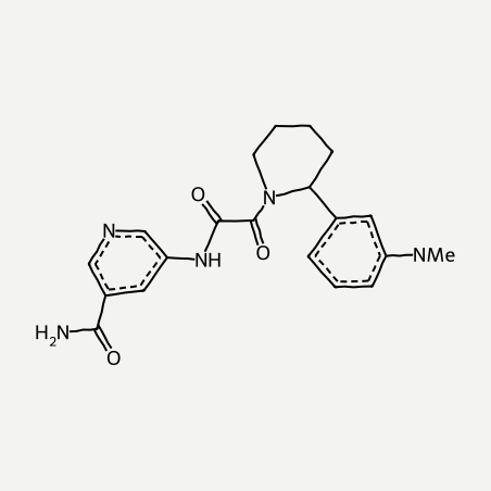 CNc1cccc(C2CCCCN2C(=O)C(=O)Nc2cncc(C(N)=O)c2)c1